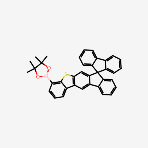 CC1(C)OB(c2cccc3c2sc2cc4c(cc23)-c2ccccc2C42c3ccccc3-c3ccccc32)OC1(C)C